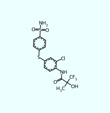 CC(O)(C(=O)Nc1ccc(Sc2ccc(S(N)(=O)=O)cc2)cc1Cl)C(F)(F)F